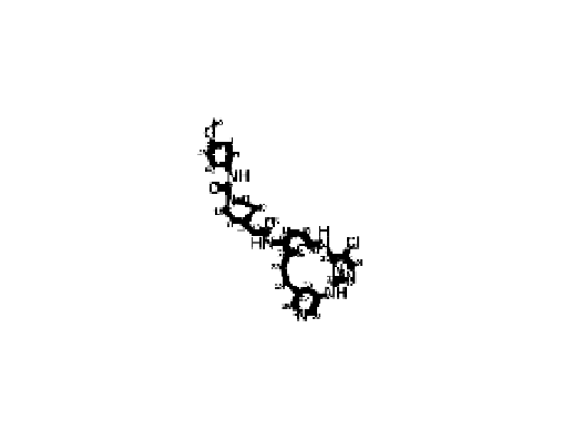 COc1ccc(NC(=O)N2CCC(CC(=O)Nc3ccc4cc3CCC3C=NC=C(C3)Nc3ncc(Cl)c(n3)N4)CC2)cc1